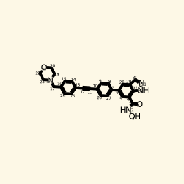 O=C(NO)c1cc(-c2ccc(C#Cc3ccc(CN4CCOCC4)cc3)cc2)cc2cn[nH]c12